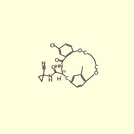 N#CC1(NC(=O)[C@@H]2Cc3ccc(c(I)c3)OCCCCOc3ccc(Cl)cc3C(=O)N2)CC1